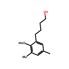 COc1c(CCCCO)cc(C)cc1C(C)(C)C